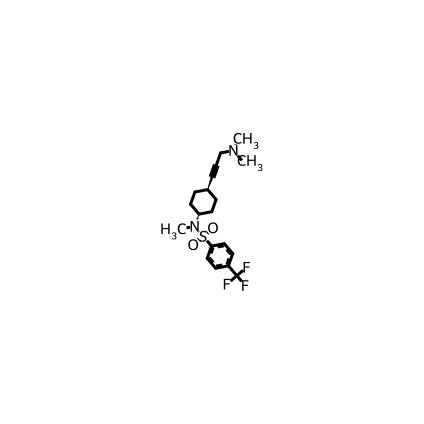 CN(C)CC#C[C@H]1CC[C@H](N(C)S(=O)(=O)c2ccc(C(F)(F)F)cc2)CC1